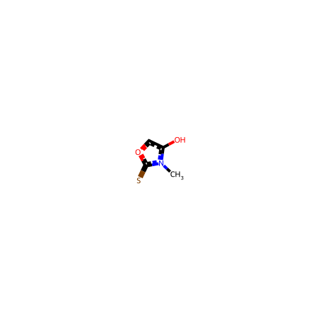 Cn1c(O)coc1=S